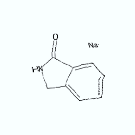 O=C1NCc2ccccc21.[Na]